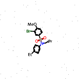 CCc1ccc(N(CC(C)C)S(=O)(=O)c2ccc(OC)c(Br)c2)cc1